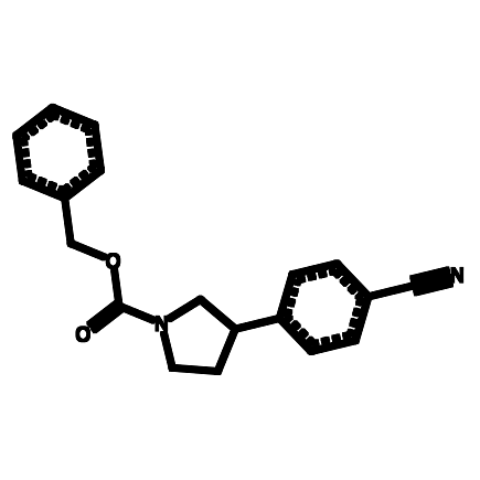 N#Cc1ccc(C2CCN(C(=O)OCc3ccccc3)C2)cc1